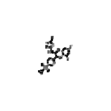 O=C(Nc1n[c]c(F)s1)C(Oc1ccc(F)cc1F)c1ccc(S(=O)(=O)C2CC2)cc1